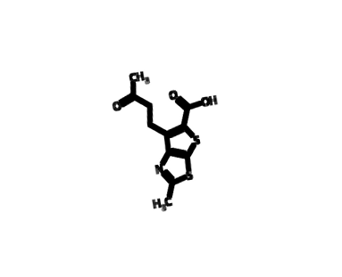 CC(=O)CCc1c(C(=O)O)sc2sc(C)nc12